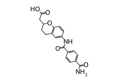 NC(=O)c1ccc(C(=O)Nc2ccc3c(c2)CCC(CC(=O)O)O3)cc1